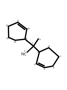 CC(C#N)(C1C=CCCC1)C1C=CCCC1